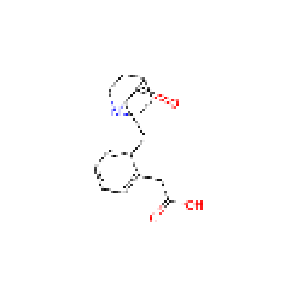 O=C(O)Cc1ccccc1CC1C(=O)C2CCN1CC2